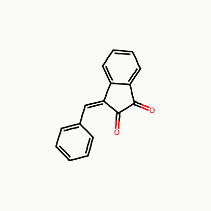 O=C1C(=O)c2ccccc2/C1=C/c1ccccc1